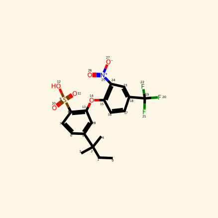 CCC(C)(C)c1ccc(S(=O)(=O)O)c(Oc2ccc(C(F)(F)F)cc2[N+](=O)[O-])c1